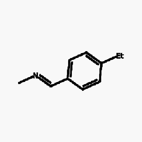 CCc1ccc(/C=N/C)cc1